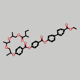 CCOC(=O)c1ccc(-c2ccc(OC(=O)c3ccc(OC(=O)c4ccc(OC(C)COC(C)COC(C)COC(=O)C(C)CC)cc4)cc3)cc2)cc1